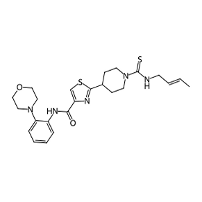 C/C=C/CNC(=S)N1CCC(c2nc(C(=O)Nc3ccccc3N3CCOCC3)cs2)CC1